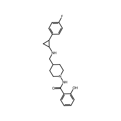 O=C(NN1CCC(CNC2CC2c2ccc(F)cc2)CC1)c1ccccc1O